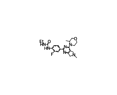 CCNC(=O)Nc1ccc(-c2nc3c(c(N4CCOCC4C)n2)CN(C)C3)cc1F